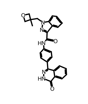 CC1(Cn2nc(C(=O)Nc3ccc(-c4n[nH]c(=O)c5ccccc45)cc3)c3ccccc32)COC1